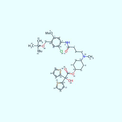 COc1cc(NC(=O)CCCN(C)C2CCC(OC(=O)C(O)(c3cccs3)c3cccs3)CC2)c(Cl)cc1CO[Si](C)(C)C(C)(C)C